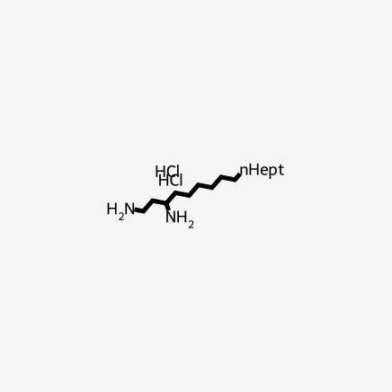 CCCCCCCCCCCCCC(N)CCN.Cl.Cl